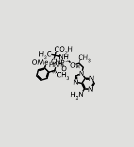 COc1ccccc1[C@@H](C)N[P@@](=O)(CO[C@H](C)Cn1cnc2c(N)ncnc21)NC(C)(C)C(=O)O